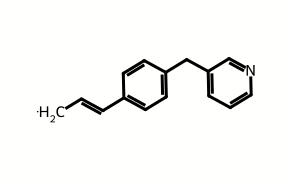 [CH2]C=Cc1ccc(Cc2cccnc2)cc1